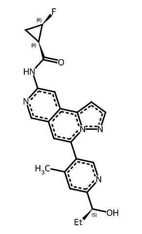 CC[C@H](O)c1cc(C)c(-c2cc3cnc(NC(=O)[C@H]4C[C@H]4F)cc3c3ccnn23)cn1